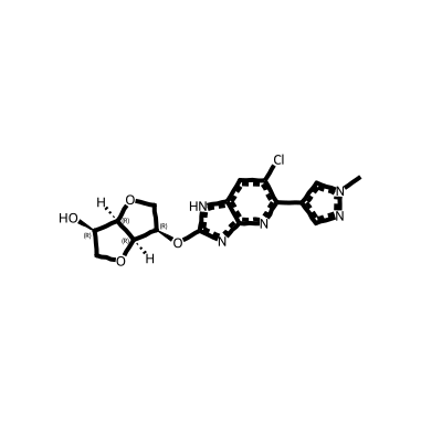 Cn1cc(-c2nc3nc(O[C@@H]4CO[C@H]5[C@@H]4OC[C@H]5O)[nH]c3cc2Cl)cn1